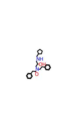 O=C(Cc1ccccc1)N(CCc1ccccc1)C[C@H](O)CNCC1CCCC1